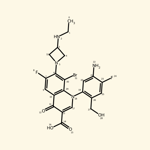 CCNC1CN(c2c(F)cc3c(=O)c(C(=O)O)cn(-c4cc(N)c(F)cc4CO)c3c2Br)C1